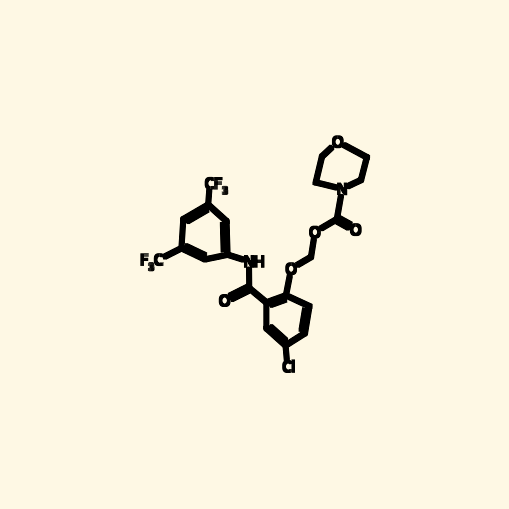 O=C(Nc1cc(C(F)(F)F)cc(C(F)(F)F)c1)c1cc(Cl)ccc1OCOC(=O)N1CCOCC1